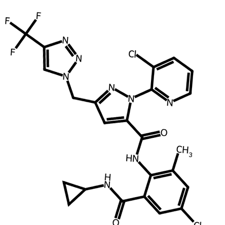 Cc1cc(Cl)cc(C(=O)NC2CC2)c1NC(=O)c1cc(Cn2cc(C(F)(F)F)nn2)nn1-c1ncccc1Cl